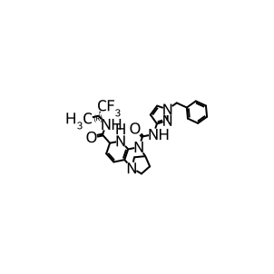 C[C@@H](NC(=O)C1C=CC2=C(N1)N(C(=O)Nc1ccn(Cc3ccccc3)n1)C1CCN2C1)C(F)(F)F